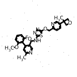 COc1cccc(F)c1-c1cc(C)ncc1C(=O)Nc1nnc(OCc2ccc(C3(C)COC3)cn2)s1